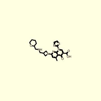 Cc1cc(N2CC(CNCC3CCCCO3)C2)nc2c1c(=O)c(C(=O)O)cn2-c1nccs1